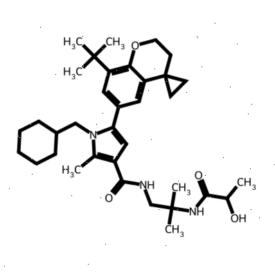 Cc1c(C(=O)NCC(C)(C)NC(=O)C(C)O)cc(-c2cc(C(C)(C)C)c3c(c2)C2(CCO3)CC2)n1CC1CCCCC1